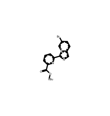 CCCCOC(=O)c1cccc(-c2ncc3ccc(Br)cn23)n1